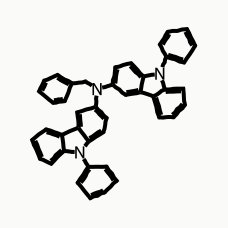 c1ccc(CN(c2ccc3c(c2)c2ccccc2n3-c2ccccc2)c2ccc3c(c2)c2ccccc2n3-c2ccccc2)cc1